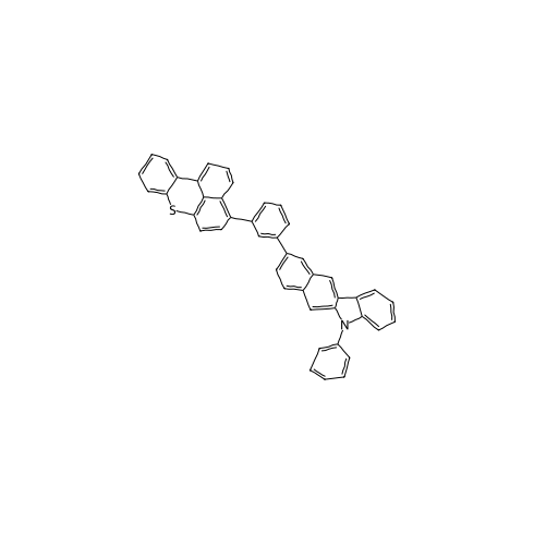 c1ccc(-n2c3ccccc3c3cc4cc(-c5cccc(-c6ccc7c8c(cccc68)-c6ccccc6S7)c5)ccc4cc32)cc1